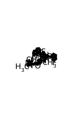 Cc1nc(C)c(F)c(/C=C/C(=O)N2CC[C@@H](N(C)c3nc(OC[C@@]45CCCN4C[C@H](F)C5)nc4c(F)c(-c5cccc6ccc(F)c(F)c56)ncc34)C2)n1